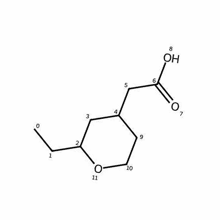 CCC1CC(CC(=O)O)CCO1